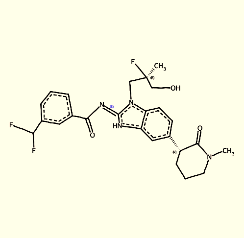 CN1CCC[C@H](c2ccc3c(c2)[nH]/c(=N\C(=O)c2cccc(C(F)F)c2)n3C[C@@](C)(F)CO)C1=O